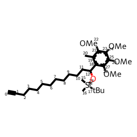 C#CCCCCCCCCCCC(O[Si](C)(C)C(C)(C)C)c1c(C)c(OC)c(OC)c(OC)c1OC